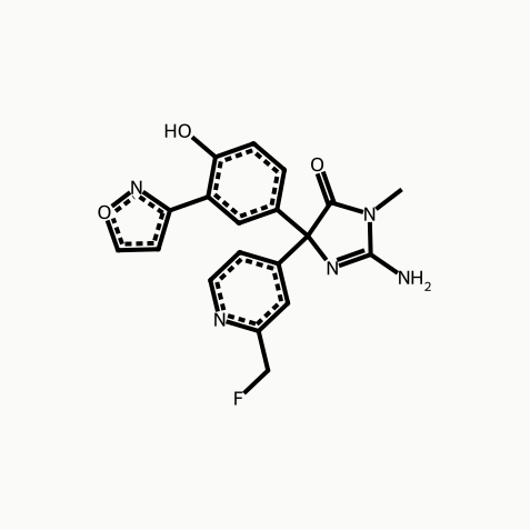 CN1C(=O)C(c2ccnc(CF)c2)(c2ccc(O)c(-c3ccon3)c2)N=C1N